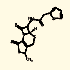 CC1OC(=O)C2=C1CS[C@H]1C(NC(=O)Cc3cccs3)C(=O)N21